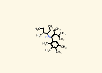 C=C/C(C(=C)C)=C(\NC(CC)[C@H](C)CC)c1cc(C)c(C)c(C)c1C